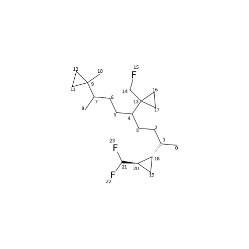 CC(CCC(CCC(C)C1(C)CC1)C1(CF)CC1)[C@@H]1C[C@H]1C(F)F